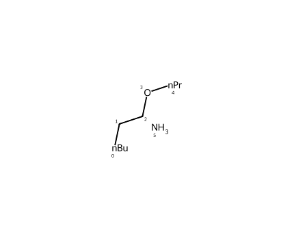 CCCCCCOCCC.N